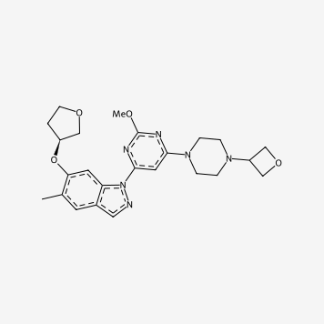 COc1nc(N2CCN(C3COC3)CC2)cc(-n2ncc3cc(C)c(O[C@H]4CCOC4)cc32)n1